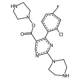 O=C(ON1CCNCC1)c1cnc(N2CCNCC2)nc1-c1ccc(F)cc1Cl